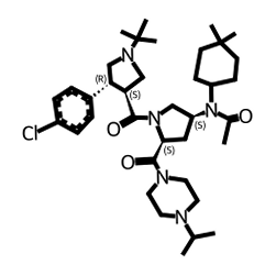 CC(=O)N(C1CCC(C)(C)CC1)[C@H]1C[C@@H](C(=O)N2CCN(C(C)C)CC2)N(C(=O)[C@@H]2CN(C(C)(C)C)C[C@H]2c2ccc(Cl)cc2)C1